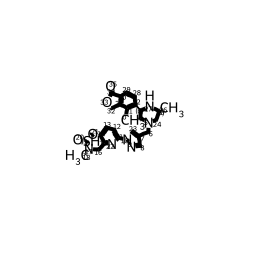 Cc1c([C@@H]2CN(Cc3cnn(-c4cccc(CN(C)[SH](=O)=O)n4)c3)C[C@H](C)N2)ccc2c1COC2=O